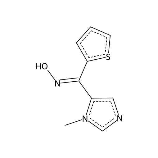 Cn1cncc1C(=NO)c1cccs1